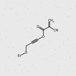 C=C(C#N)C(=O)OC#CCOCC